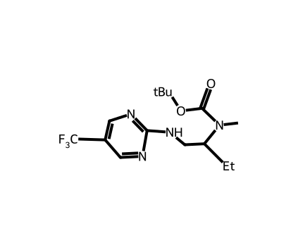 CCC(CNc1ncc(C(F)(F)F)cn1)N(C)C(=O)OC(C)(C)C